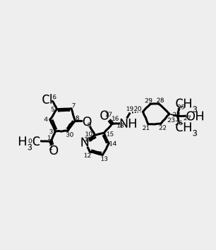 CC(=O)c1cc(Cl)cc(Oc2ncccc2C(=O)NC[C@H]2CC[C@H](C(C)(C)O)CC2)c1